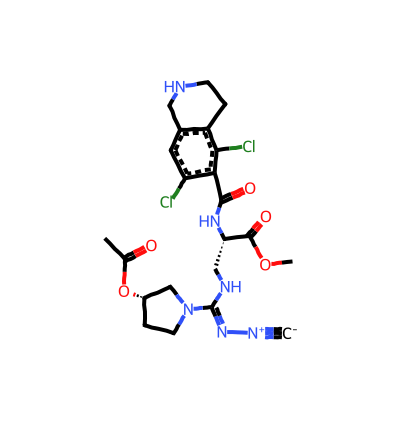 [C-]#[N+]/N=C(\NC[C@H](NC(=O)c1c(Cl)cc2c(c1Cl)CCNC2)C(=O)OC)N1CC[C@H](OC(C)=O)C1